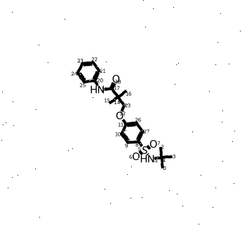 CC(C)(C)NS(=O)(=O)c1ccc(OCC(C)(C)C(=O)Nc2ccccc2)cc1